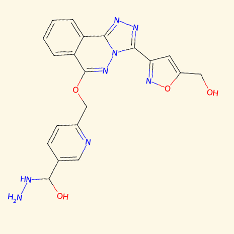 NNC(O)c1ccc(COc2nn3c(-c4cc(CO)on4)nnc3c3ccccc23)nc1